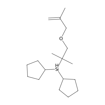 C=C(C)COCC(C)(C)[SiH](C1CCCC1)C1CCCC1